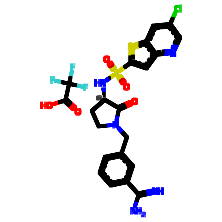 N=C(N)c1cccc(CN2CC[C@H](NS(=O)(=O)c3cc4ncc(Cl)cc4s3)C2=O)c1.O=C(O)C(F)(F)F